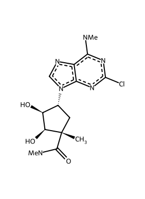 CNC(=O)[C@@]1(C)C[C@@H](n2cnc3c(NC)nc(Cl)nc32)[C@H](O)[C@@H]1O